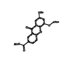 CCCCCCOc1cc(SC)cc2c(=O)c3cc(C(=O)OC)ccc3oc12